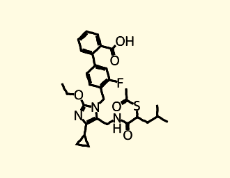 CCOc1nc(C2CC2)c(CNC(=O)C(CC(C)C)SC(C)=O)n1Cc1ccc(-c2ccccc2C(=O)O)cc1F